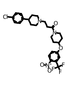 O=C(CCN1CCC(c2ccc(Cl)cc2)CC1)N1CCC(Oc2ccc([N+](=O)[O-])c(C(F)(F)F)c2)CC1